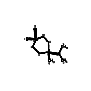 CC(C)=P1(C)CCS(=O)(=O)CC1